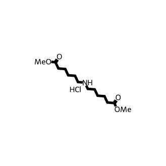 COC(=O)CCCCCNCCCCCC(=O)OC.Cl